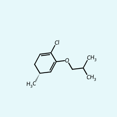 CC(C)COC1=C[C@H](C)CC=C1Cl